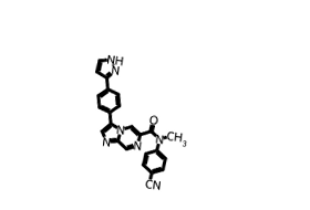 CN(C(=O)c1cn2c(-c3ccc(-c4cc[nH]n4)cc3)cnc2cn1)c1ccc(C#N)cc1